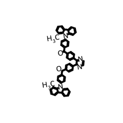 Cc1cccc2c3ccccc3n(-c3ccc(C(=O)c4ccc(-c5nccnc5-c5ccc(C(=O)c6ccc(-n7c8ccccc8c8cccc(C)c87)cc6)cc5)cc4)cc3)c12